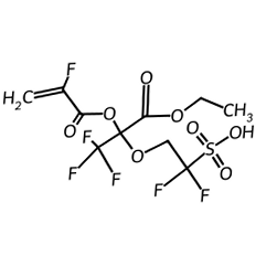 C=C(F)C(=O)OC(OCC(F)(F)S(=O)(=O)O)(C(=O)OCC)C(F)(F)F